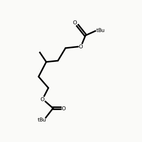 CC(CCOC(=O)C(C)(C)C)CCOC(=O)C(C)(C)C